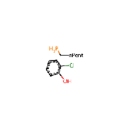 CCCCCCP.Oc1ccccc1Cl